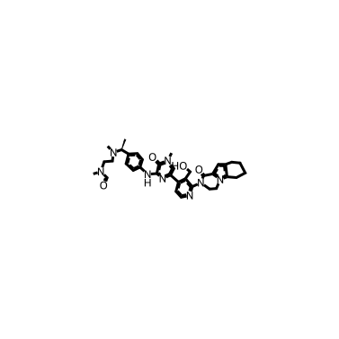 C[C@@H](c1ccc(Nc2nc(-c3ccnc(N4CCn5c(cc6c5CCCC6)C4=O)c3CO)cn(C)c2=O)cc1)N(C)CCN(C)C=O